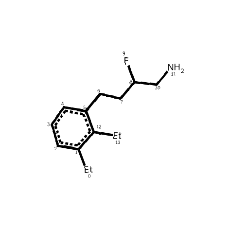 CCc1cccc(CCC(F)CN)c1CC